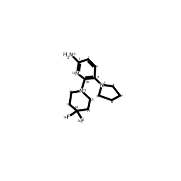 Nc1ccc(N2CCCC2)c(N2CCC(F)(F)CC2)n1